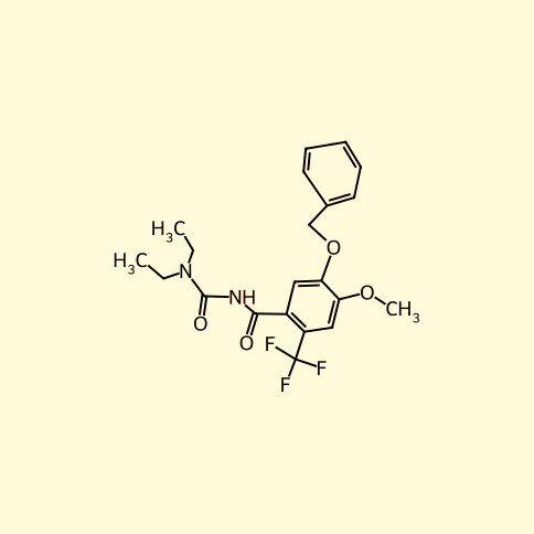 CCN(CC)C(=O)NC(=O)c1cc(OCc2ccccc2)c(OC)cc1C(F)(F)F